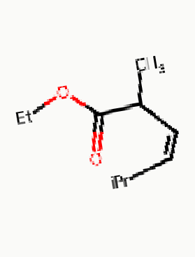 CCOC(=O)C(C)/C=C\C(C)C